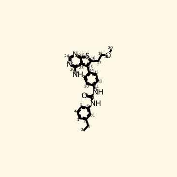 CCc1cccc(NC(=O)Nc2ccc(-c3c(CCOC)sc4ncnc(N)c34)cc2)c1